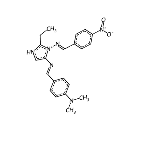 CCc1[nH]cc(N=Cc2ccc(N(C)C)cc2)[n+]1N=Cc1ccc([N+](=O)[O-])cc1